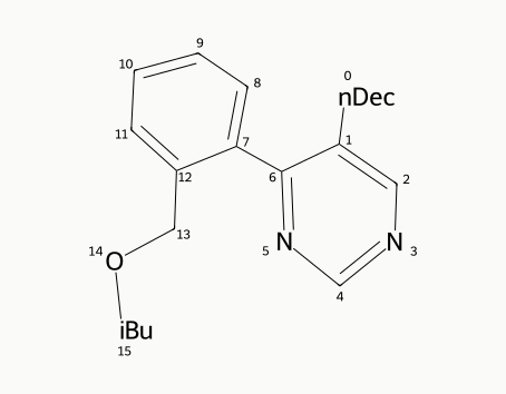 CCCCCCCCCCc1cncnc1-c1ccccc1COC(C)CC